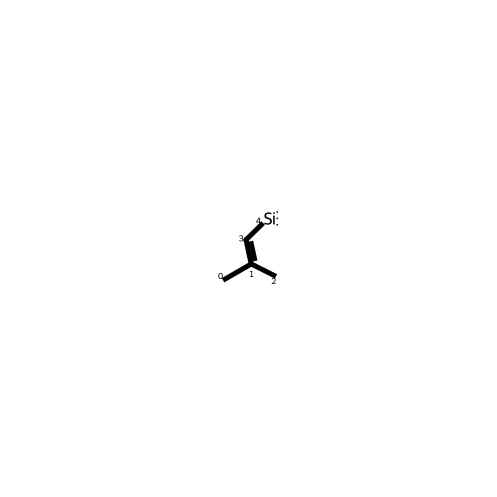 CC(C)=C[Si]